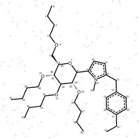 CCCCOC[C@H]1OC(c2ccc(Cc3ccc(CC)cc3)n2C)[C@H](OCCCC)C(OCCCC)[C@@H]1OCCCC